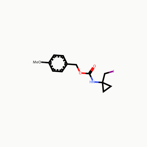 COc1ccc(COC(=O)NC2(CI)CC2)cc1